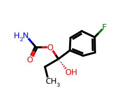 CC[C@@](O)(OC(N)=O)c1ccc(F)cc1